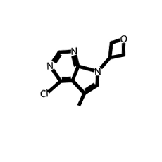 Cc1cn(C2COC2)c2ncnc(Cl)c12